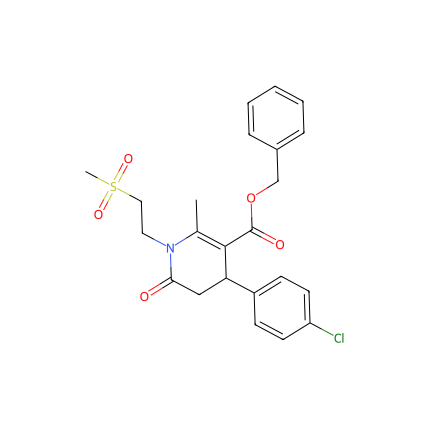 CC1=C(C(=O)OCc2ccccc2)C(c2ccc(Cl)cc2)CC(=O)N1CCS(C)(=O)=O